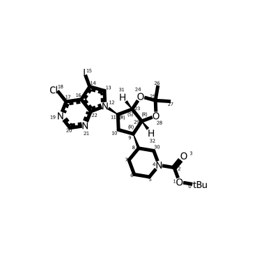 CC(C)(C)OC(=O)N1CCCC([C@H]2C[C@@H](n3cc(I)c4c(Cl)ncnc43)[C@@H]3OC(C)(C)O[C@@H]32)C1